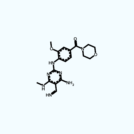 CNc1nc(Nc2ccc(C(=O)N3CCOCC3)cc2OC)nc(N)c1C=N